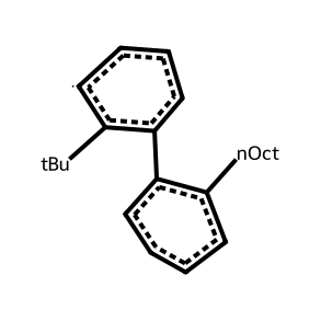 CCCCCCCCc1ccccc1-c1ccc[c]c1C(C)(C)C